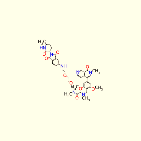 C=C1CCC(N2C(=O)c3ccc(NCCOCCOCCN(C)C(=O)CN(C)Cc4c(OC)cc(-c5cn(C)c(=O)c6cnccc56)cc4OC)cc3C2=O)C(=O)N1